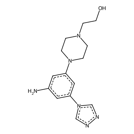 Nc1cc(N2CCN(CCO)CC2)cc(-n2cnnc2)c1